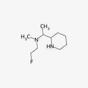 CC(C1CCCCN1)N(C)CCF